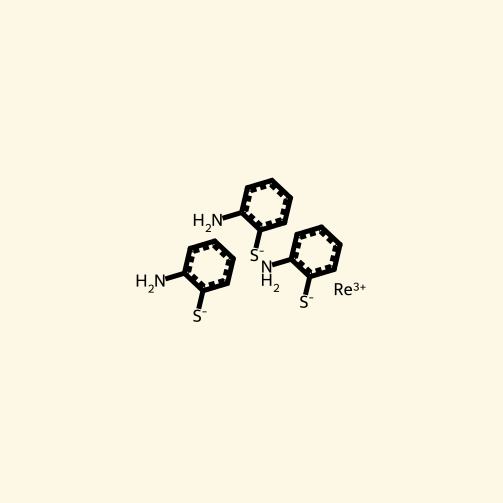 Nc1ccccc1[S-].Nc1ccccc1[S-].Nc1ccccc1[S-].[Re+3]